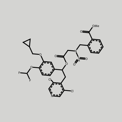 COC(=O)c1ccccc1CN(CC(=O)OC(Cc1c(Cl)cncc1Cl)c1ccc(OC(F)F)c(OCC2CC2)c1)[SH](=O)=O